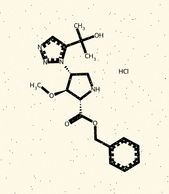 CO[C@@H]1[C@@H](C(=O)OCc2ccccc2)NC[C@H]1n1nncc1C(C)(C)O.Cl